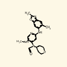 CNc1cnc(Nc2cc3oc(C)nc3cc2C)cc1N(C=O)C1CCOCC1